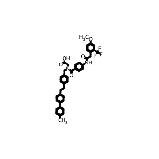 COc1ccc(CC(=O)Nc2ccc(C(=O)N(CC(=O)O)Cc3ccc(CCc4ccc(-c5ccc(C)cc5)cc4)cc3)cc2)c(C(F)(F)F)c1